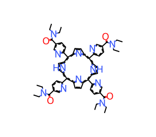 CCN(CC)C(=O)c1ccc(-c2c3nc(c(-c4ccc(C(=O)N(CC)CC)cn4)c4ccc([nH]4)c(-c4ccc(C(=O)N(CC)CC)cn4)c4nc(c(-c5ccc(C(=O)N(CC)CC)cn5)c5ccc2[nH]5)C=C4)C=C3)nc1